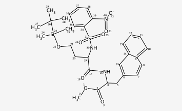 COC(=O)C(Cc1ccc2ccccc2c1)NC(=O)C(CCO[Si](C)(C)C(C)(C)C)NS(=O)(=O)c1ccccc1[N+](=O)[O-]